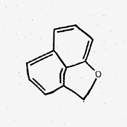 [CH]1Oc2cccc3cccc1c23